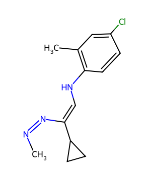 C/N=N\C(=C/Nc1ccc(Cl)cc1C)C1CC1